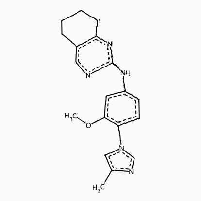 COc1cc(Nc2ncc3c(n2)[C]CCC3)ccc1-n1cnc(C)c1